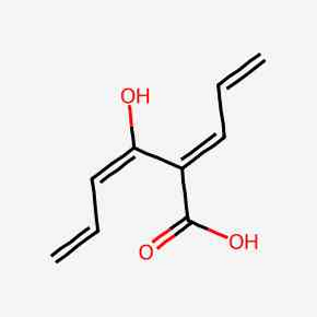 C=C/C=C(O)\C(=C/C=C)C(=O)O